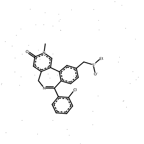 CC[S+]([O-])Cc1ccc2c(c1)-c1cn(C)c(=O)cc1CN=C2c1ccccc1Cl